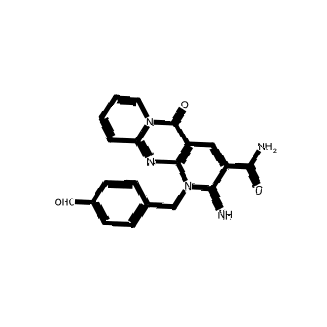 N=c1c(C(N)=O)cc2c(=O)n3ccccc3nc2n1Cc1ccc(C=O)cc1